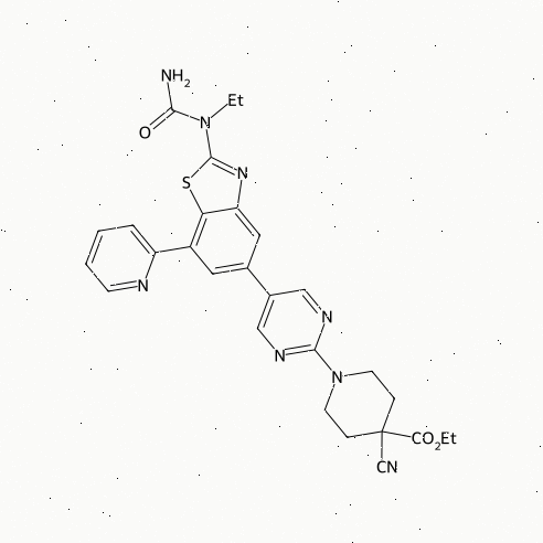 CCOC(=O)C1(C#N)CCN(c2ncc(-c3cc(-c4ccccn4)c4sc(N(CC)C(N)=O)nc4c3)cn2)CC1